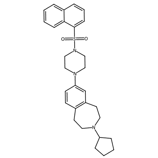 O=S(=O)(c1cccc2ccccc12)N1CCN(c2ccc3c(c2)CCN(C2CCCC2)CC3)CC1